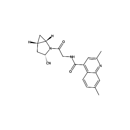 Cc1ccc2c(C(=O)NCC(=O)N3[C@H](C#N)C[C@@H]4C[C@@H]43)cc(C)nc2c1